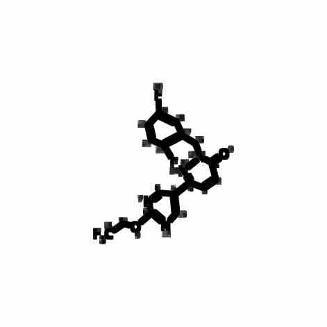 O=c1ccc(-c2cnc(OCC(F)(F)F)nc2)nn1Cc1cc(F)ccc1F